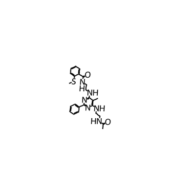 CSc1ccccc1C(=O)NCCNc1nc(-c2ccccc2)nc(NCCNC(C)=O)c1C